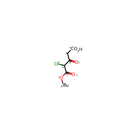 CCC(C)OC(=O)C(Cl)C(=O)CC(=O)O